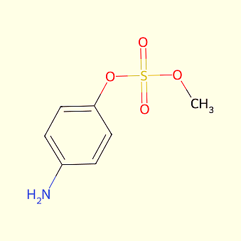 COS(=O)(=O)Oc1ccc(N)cc1